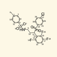 Cc1ccc(S(=O)(=O)NCCC(c2c(F)ccc(F)c2F)S(=O)(=O)c2ccc(Cl)cc2)cc1